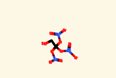 O=[N+]([O-])OC(CO)(O[N+](=O)[O-])O[N+](=O)[O-]